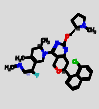 C=N/C=C(/F)C1=C(C)C[C@@H](C)N(c2nc(OC[C@@H]3CCCN3C)nc3c2CO[C@H](c2cccc4cccc(Cl)c24)C3)C1